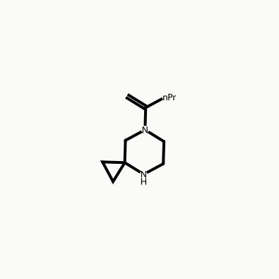 C=C(CCC)N1CCNC2(CC2)C1